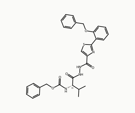 CC(C)[C@H](NC(=O)OCc1ccccc1)C(=O)NNC(=O)c1csc(-c2ccccc2OCc2ccccc2)n1